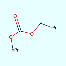 CCCOC(=O)O[CH]C(C)C